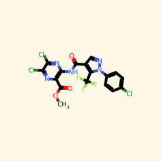 COC(=O)c1nc(Cl)c(Cl)nc1NC(=O)c1cnn(-c2ccc(Cl)cc2)c1C(F)(F)F